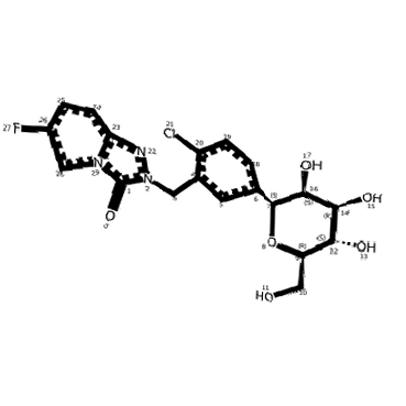 O=c1n(Cc2cc([C@@H]3O[C@H](CO)[C@@H](O)[C@H](O)[C@@H]3O)ccc2Cl)nc2ccc(F)cn12